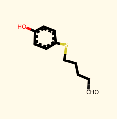 O=CCCCCSc1ccc(O)cc1